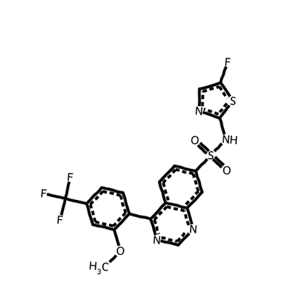 COc1cc(C(F)(F)F)ccc1-c1ncnc2cc(S(=O)(=O)Nc3ncc(F)s3)ccc12